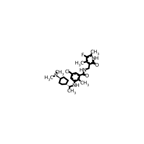 Cc1[nH]c(=O)c(CNC(=O)c2cc(Cl)cc(NC(C)[C@H]3CC[C@H](N(C)C)CC3)c2C)c(C)c1F